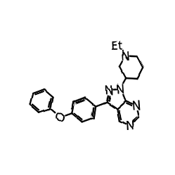 CCN1CCCC(n2nc(-c3ccc(Oc4ccccc4)cc3)c3cncnc32)C1